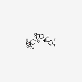 CC(=O)C(=O)[C@@]1(O)C2CC(S(=O)(=O)c3cc(C(=O)Nc4ccc(F)c(F)c4)ccc3Cl)CC1[C@@H](C)C2